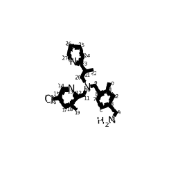 Cc1cc(CN)ccc1CN(Cc1ncc(Cl)cc1C)CC(C)c1ccccn1